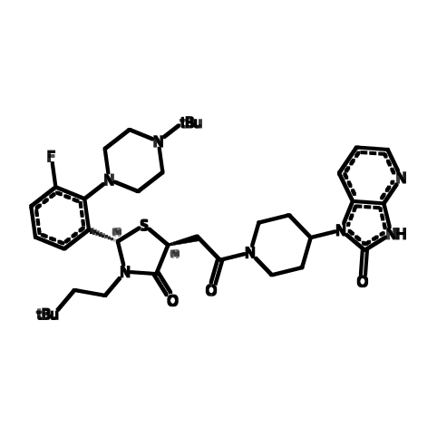 CC(C)(C)CCN1C(=O)[C@H](CC(=O)N2CCC(n3c(=O)[nH]c4ncccc43)CC2)S[C@H]1c1cccc(F)c1N1CCN(C(C)(C)C)CC1